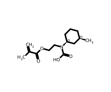 C=C(C)C(=O)OCCN(C(=O)O)[C@H]1CCC[C@@H](C)C1